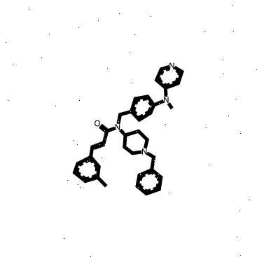 Cc1cccc(C=CC(=O)N(Cc2ccc(N(C)c3ccncc3)cc2)C2CCN(Cc3ccccc3)CC2)c1